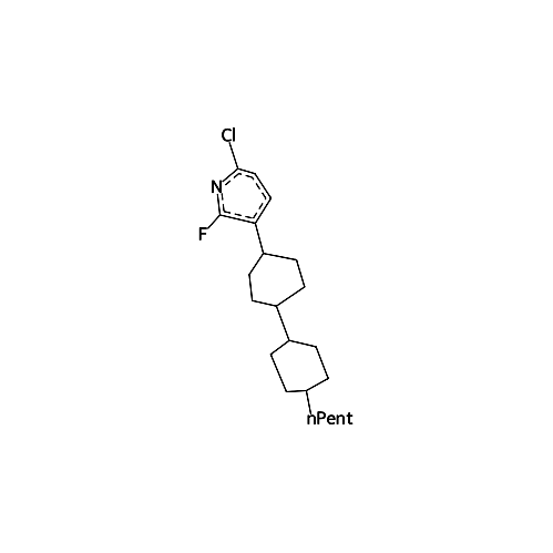 CCCCCC1CCC(C2CCC(c3ccc(Cl)nc3F)CC2)CC1